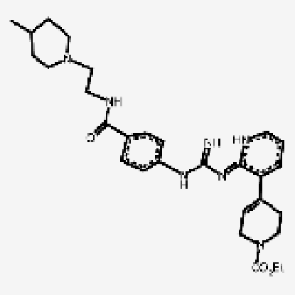 CCOC(=O)N1CC=C(c2ccc[nH]/c2=N\C(=N)Nc2ccc(C(=O)NCCN3CCC(C)CC3)cc2)CC1